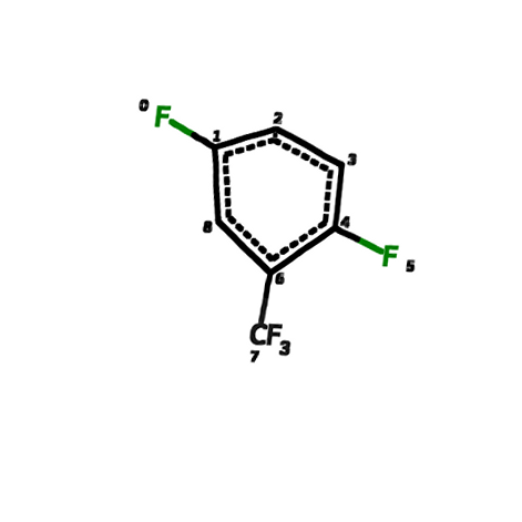 Fc1[c]cc(F)c(C(F)(F)F)c1